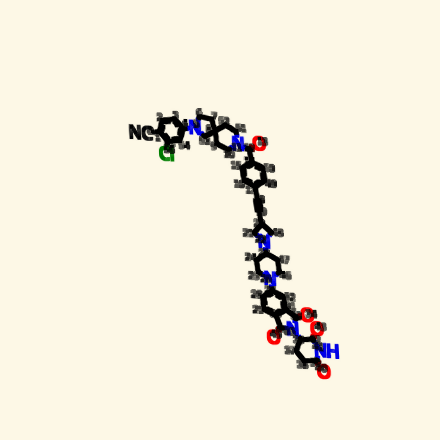 N#Cc1ccc(N2CCC3(CCN(C(=O)c4ccc(C#CC5CN(C6CCN(c7ccc8c(c7)C(=O)N(C7CCC(=O)NC7=O)C8=O)CC6)C5)cc4)CC3)C2)cc1Cl